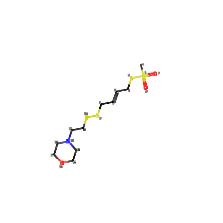 CS(=O)(=O)SCC=CCSSCCN1CCOCC1